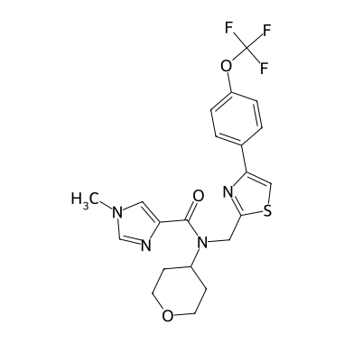 Cn1cnc(C(=O)N(Cc2nc(-c3ccc(OC(F)(F)F)cc3)cs2)C2CCOCC2)c1